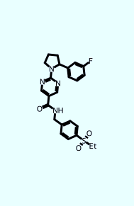 CCS(=O)(=O)c1ccc(CNC(=O)c2cnc(N3CCCC3c3cccc(F)c3)nc2)cc1